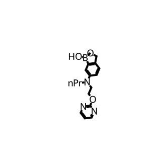 CCCN(CCOc1ncccn1)c1ccc2c(c1)B(O)OC2